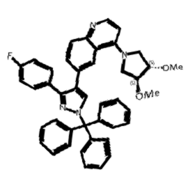 CO[C@H]1CN(c2ccnc3ccc(-c4cn(C(c5ccccc5)(c5ccccc5)c5ccccc5)nc4-c4ccc(F)cc4)cc23)C[C@@H]1OC